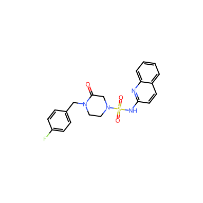 O=C1CN(S(=O)(=O)Nc2ccc3ccccc3n2)CCN1Cc1ccc(F)cc1